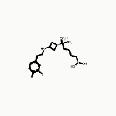 NC(CCCCB(O)O)(C(=O)O)[C@H]1C[C@@H](NCCc2ccc(F)c(F)c2)C1